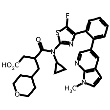 Cn1ccc2cc(-c3ccccc3-c3nc(N(C(=O)C(CC(=O)O)CC4CCOCC4)C4CC4)sc3F)cnc21